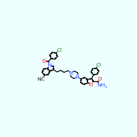 N#Cc1ccc2c(c1)c(CCCCN1CCN(c3ccc4oc(C(N)=O)c(-c5ccc(Cl)cc5)c4c3)CC1)cn2C(=O)c1ccc(Cl)cc1